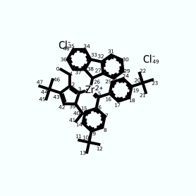 CCC1=[C]([Zr+2](=[C](c2ccc(C(C)(C)C)cc2)c2ccc(C(C)(C)C)cc2)[CH]2c3ccccc3-c3ccccc32)C(CC)C=C1C(C)(C)C.[Cl-].[Cl-]